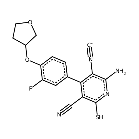 [C-]#[N+]c1c(N)nc(S)c(C#N)c1-c1ccc(OC2CCOC2)c(F)c1